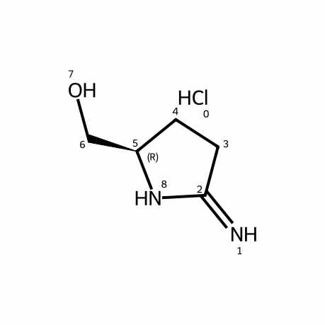 Cl.N=C1CC[C@H](CO)N1